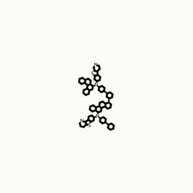 c1ccc(-c2ccc(N(c3ccc4c(c3)sc3cccnc34)c3cc4c5cccc(-c6cccc(-c7ccc(N(c8ccc9c(c8)sc8cnccc89)c8cc9ccccc9c9c8ccc8ccccc89)cc7)c6)c5ccc4c4ccccc34)cc2)cc1